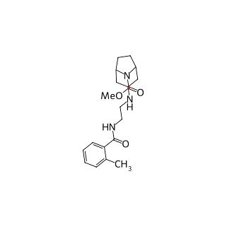 COC(=O)N1C2CCC1CC(NCCNC(=O)c1ccccc1C)C2